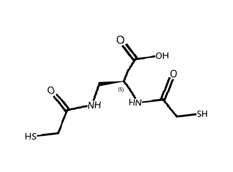 O=C(CS)NC[C@H](NC(=O)CS)C(=O)O